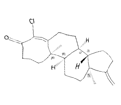 C=C1CC[C@H]2[C@@H]3CCC4=C(Cl)C(=O)CC[C@]4(C)[C@@H]3CC[C@]12C